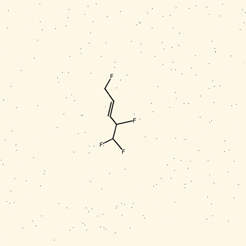 FCC=CC(F)C(F)F